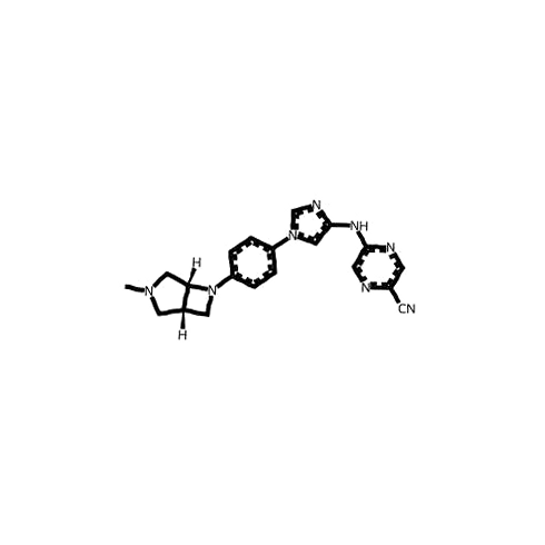 CN1C[C@H]2CN(c3ccc(-n4cnc(Nc5cnc(C#N)cn5)c4)cc3)[C@H]2C1